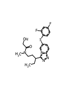 CCC(CCN(C)C(=O)CO)c1nnc2ccc(Sc3ccc(F)cc3F)cn12